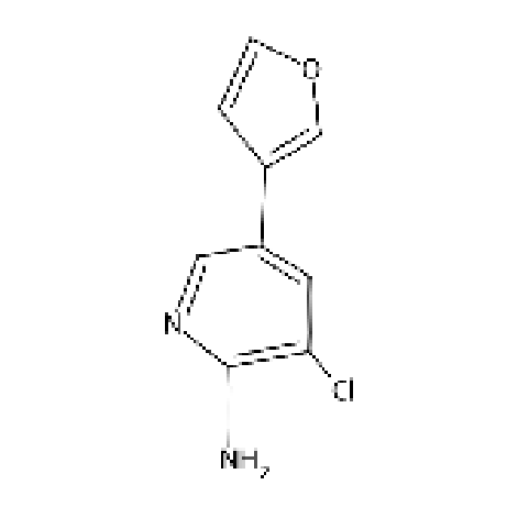 Nc1ncc(-c2ccoc2)cc1Cl